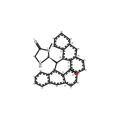 CN1C(=O)CN[C@@H]1C(c1c2ccccc2cc2ccccc12)c1c2ccccc2cc2ccccc12